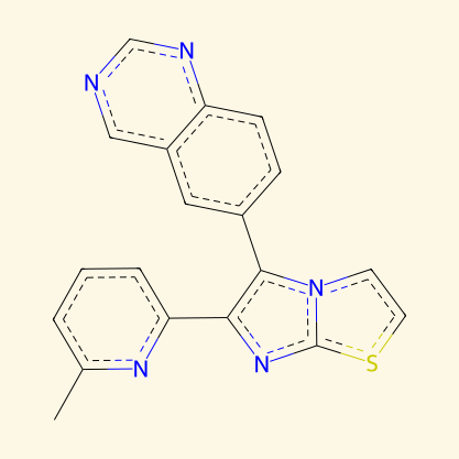 Cc1cccc(-c2nc3sccn3c2-c2ccc3ncncc3c2)n1